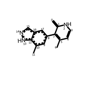 C=C1NC=CC(C)=C1c1cc(C)c2[nH]ncc2c1